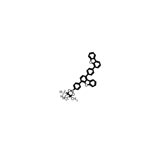 CC1(C)OB(c2ccc(-c3ccc(-c4ccc(-c5cccc6c5oc5ccccc56)cc4)c4c3oc3ccccc34)cc2)OC1(C)C